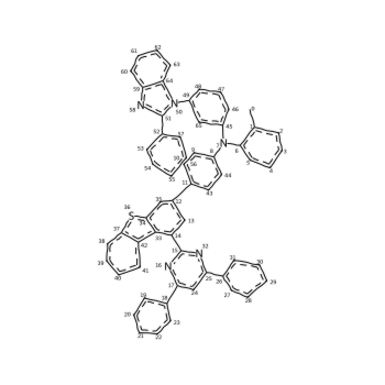 Cc1ccccc1N(c1ccc(-c2cc(-c3nc(-c4ccccc4)cc(-c4ccccc4)n3)c3c(c2)sc2ccccc23)cc1)c1cccc(-n2c(-c3ccccc3)nc3ccccc32)c1